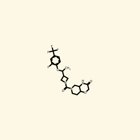 CC(Oc1ccc(C(F)(F)F)cc1F)C1CN(C(=O)N2CCC3OCC(=O)NC3C2)C1